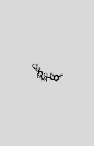 C[C@H](c1ccc(OCC(F)(F)F)cn1)N(C)C(=O)c1cc2ccc(F)cc2n1C